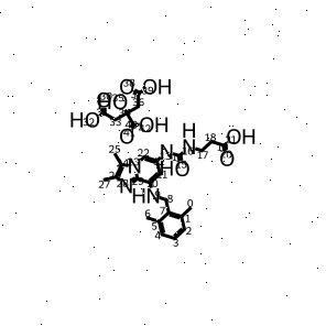 Cc1cccc(C)c1CNc1cc(NC(=O)NCCC(=O)O)cn2c(C)c(C)nc12.O=C(O)CC(O)(CC(=O)O)C(=O)O